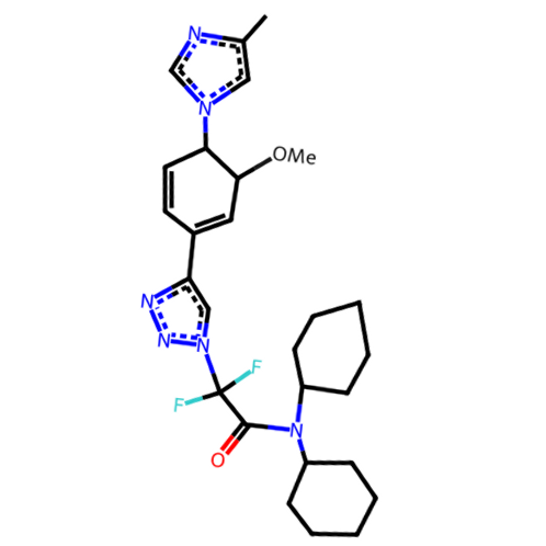 COC1C=C(c2cn(C(F)(F)C(=O)N(C3CCCCC3)C3CCCCC3)nn2)C=CC1n1cnc(C)c1